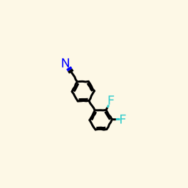 N#Cc1ccc(-c2cccc(F)c2F)cc1